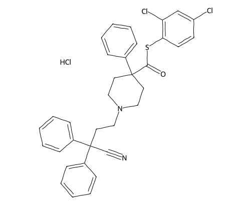 Cl.N#CC(CCN1CCC(C(=O)Sc2ccc(Cl)cc2Cl)(c2ccccc2)CC1)(c1ccccc1)c1ccccc1